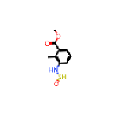 COC(=O)c1cccc(N[SH]=O)c1C